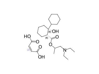 CCN(CC)CC(C)OC(=O)[C@@H]1CCCC[C@@]1(O)C1CCCCC1.O=C(O)/C=C\C(=O)O